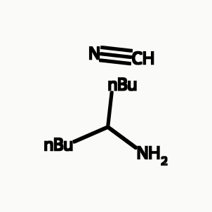 C#N.CCCCC(N)CCCC